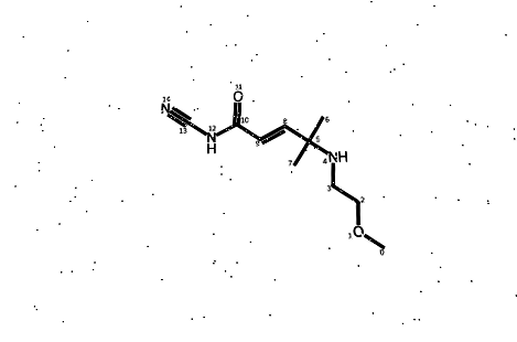 COCCNC(C)(C)C=CC(=O)NC#N